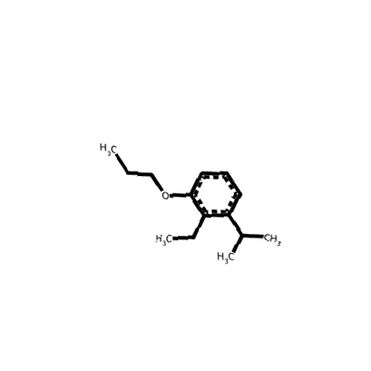 CCCOc1cccc([C](C)C)c1CC